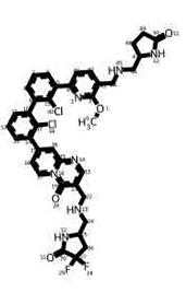 COc1nc(-c2cccc(-c3cccc(-c4ccn5c(=O)c(CNCC6CC(F)(F)C(=O)N6)cnc5c4)c3Cl)c2Cl)ccc1CNCC1CCC(=O)N1